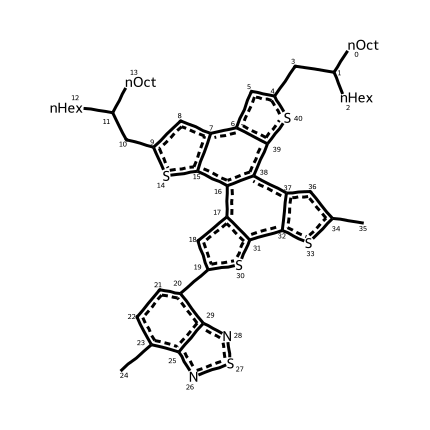 CCCCCCCCC(CCCCCC)Cc1cc2c3cc(CC(CCCCCC)CCCCCCCC)sc3c3c4cc(-c5ccc(C)c6nsnc56)sc4c4sc(C)cc4c3c2s1